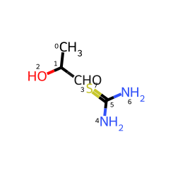 CC(O)C=O.NC(N)=S